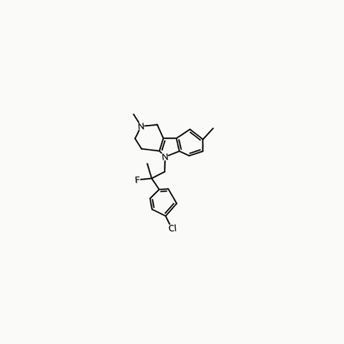 Cc1ccc2c(c1)c1c(n2CC(C)(F)c2ccc(Cl)cc2)CCN(C)C1